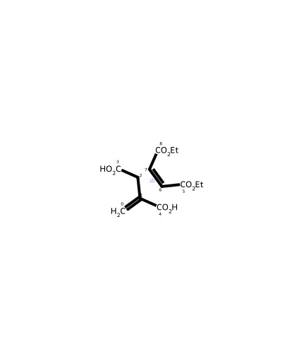 C=C(CC(=O)O)C(=O)O.CCOC(=O)/C=C\C(=O)OCC